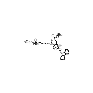 CCCCCCCCCCCC(=O)NCCCCCCNC(=O)C(CCC(=O)OC(C)(C)C)NC(=O)OCC1c2ccccc2-c2ccccc21